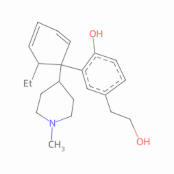 CCC1C=CC=CC1(c1cc(CCO)ccc1O)C1CCN(C)CC1